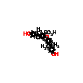 CC(C)(c1ccc(O)cc1)c1ccc(Oc2ccc(C(C)(C)C3CCC(O)CC3)cc2)c(C(=O)O)c1